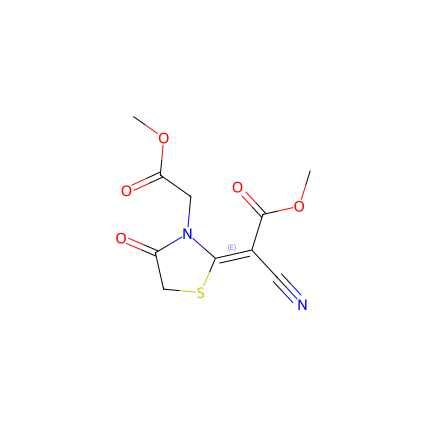 COC(=O)CN1C(=O)CS/C1=C(\C#N)C(=O)OC